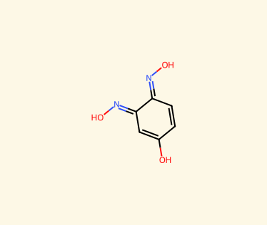 ON=C1C=CC(O)=CC1=NO